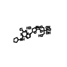 COCC(CO)(OC[C@@H]1C[C@@H](O)[C@H](c2ccc3c(NC4CCCC4)nc(Cl)nn23)O1)P(=O)(O)O